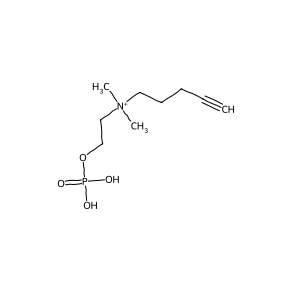 C#CCCC[N+](C)(C)CCOP(=O)(O)O